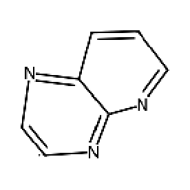 [c]1cnc2cccnc2n1